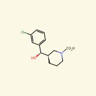 O=C(O)N1CCC[C@@H]([C@@H](O)c2cccc(Cl)c2)C1